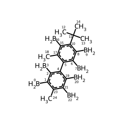 Bc1c(B)c(-c2c(B)c(B)c(C(C)(C)C)c(B)c2C)c(B)c(B)c1C